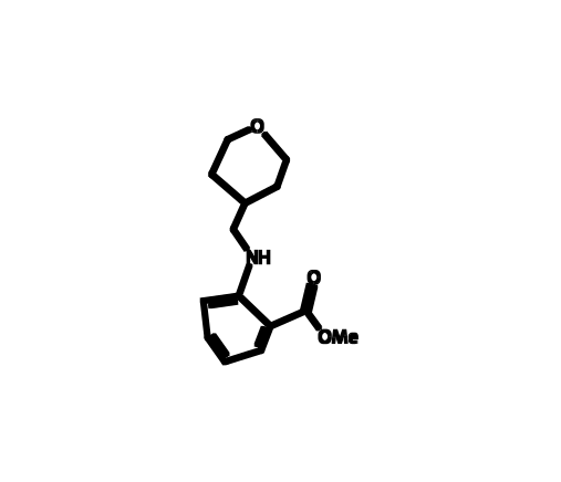 COC(=O)c1ccccc1NCC1CCOCC1